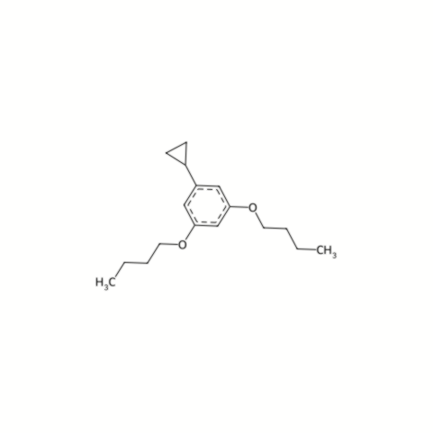 CCCCOc1cc(OCCCC)cc(C2CC2)c1